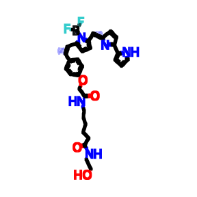 O=C(CCCCCNC(=O)COc1ccc(/C=C\c2ccc(/C=C3/C=CC(c4ccc[nH]4)=N3)n2B(F)F)cc1)NCCO